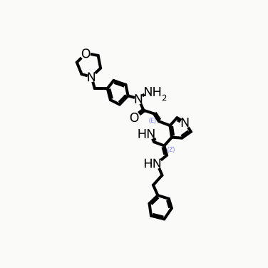 N=C/C(=C\NCCc1ccccc1)c1ccncc1/C=C/C(=O)N(N)c1ccc(CN2CCOCC2)cc1